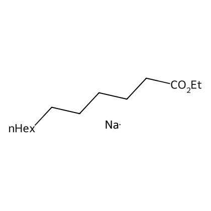 CCCCCCCCCCCC(=O)OCC.[Na]